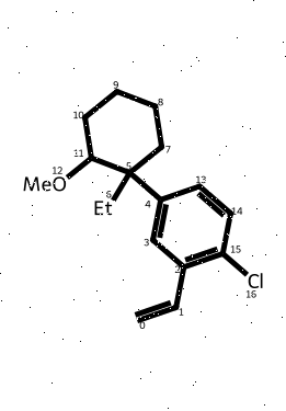 C=Cc1cc(C2(CC)CCCCC2OC)ccc1Cl